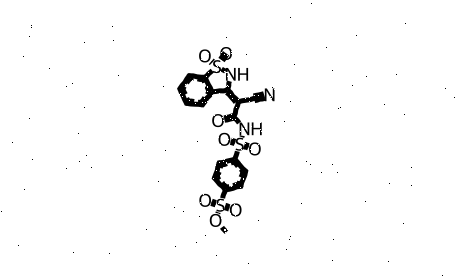 COS(=O)(=O)c1ccc(S(=O)(=O)NC(=O)C(C#N)=C2NS(=O)(=O)c3ccccc32)cc1